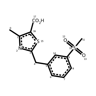 Cc1nc(Cc2cccc(S(C)(=O)=O)c2)sc1C(=O)O